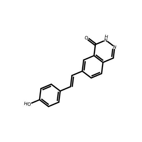 O=c1[nH]ncc2ccc(/C=C/c3ccc(O)cc3)cc12